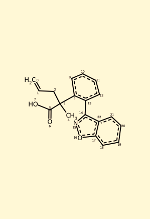 C=CCC(C)(C(=O)O)c1ccccc1-c1noc2ccccc12